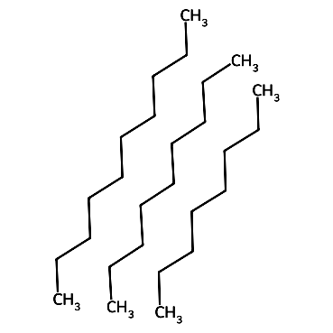 CCCCCCCC.CCCCCCCCC.CCCCCCCCCC